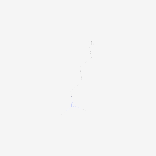 CN(C)C[CH]CCC#N